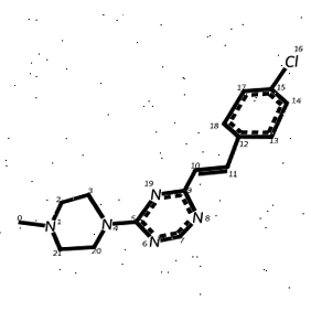 CN1CCN(c2ncnc(C=Cc3ccc(Cl)cc3)n2)CC1